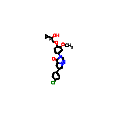 COc1cc(-n2cnn3cc(-c4ccc(Cl)cc4)cc3c2=O)ccc1OC[C@H](O)C1CC1